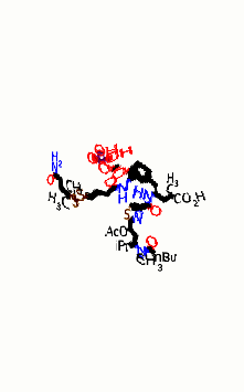 CCCCC(=O)N(C)C(C[C@@H](OC(C)=O)c1nc(C(=O)N[C@@H](Cc2ccc(OCOP(=O)(O)O)c(NC(=O)CCCSSC(C)(C)CCC(N)=O)c2)CC(C)C(=O)O)cs1)C(C)C